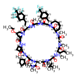 CCO[C@@H]1C[C@H]2C(=O)NC3(CCC3)C(=O)N(C)[C@@H](C3CCCC3)C(=O)N(C)[C@H](C(=O)N(C)C)CC(=O)N(C)[C@@H](CC(C)(C)C)C(=O)N[C@@H]([C@@H](C)CC)C(=O)N(C)CC(=O)N(C)[C@H]3C/C=C\CCN(C3=O)[C@@H](Cc3ccc(C(F)(F)F)cc3)C(=O)N(C)CC(=O)N[C@@H](CCc3cc(F)c(C(F)(F)F)c(F)c3)C(=O)N2C1